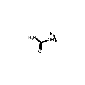 CCC.NC(=O)O